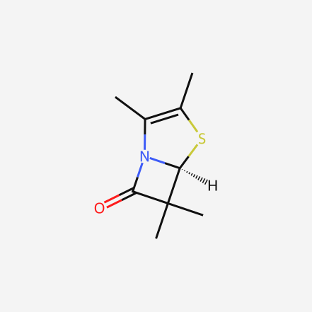 CC1=C(C)N2C(=O)C(C)(C)[C@@H]2S1